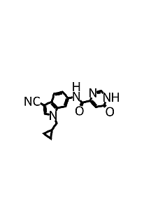 N#Cc1cn(CC2CC2)c2cc(NC(=O)c3cc(=O)[nH]cn3)ccc12